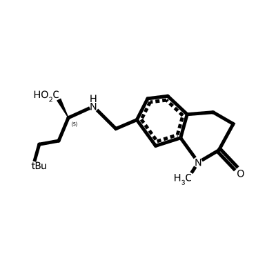 CN1C(=O)CCc2ccc(CN[C@@H](CCC(C)(C)C)C(=O)O)cc21